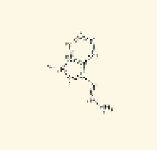 Cn1cc(C=NN)c2ccccc21